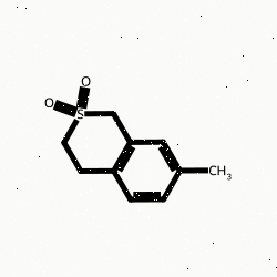 Cc1ccc2c(c1)CS(=O)(=O)CC2